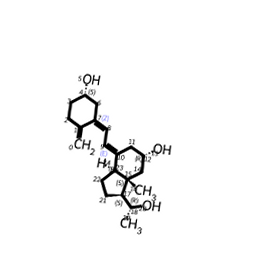 C=C1CC[C@H](O)C/C1=C/C=C1\C[C@H](O)C[C@]2(C)[C@@H]([C@@H](C)O)CC[C@@H]12